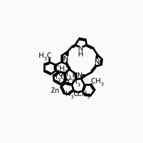 Cc1cccc(C)c1C1=Cc2cc3ccc(cc4nc(cc5[nH]c(c(-c6c(C)cccc6C)c1n2)c(-c1c(C)cccc1C)c5-c1c(C)cccc1C)C=C4)[nH]3.[Zn]